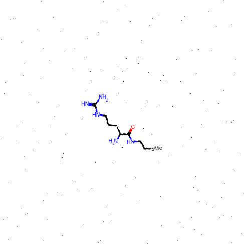 CSCCNC(=O)C(N)CCCNC(=N)N